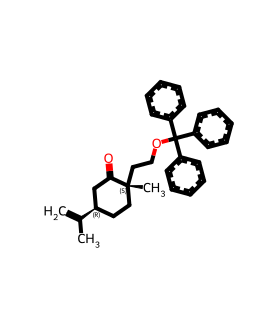 C=C(C)[C@@H]1CC[C@@](C)(CCOC(c2ccccc2)(c2ccccc2)c2ccccc2)C(=O)C1